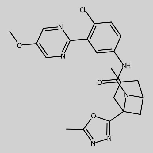 COc1cnc(-c2cc(NC(=O)N3C4CC(C)CC3(c3nnc(C)o3)C4)ccc2Cl)nc1